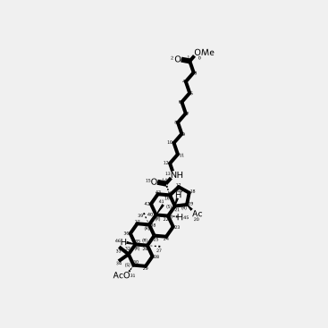 COC(=O)CCCCCCCCCCNC(=O)[C@]12CC[C@@H](C(C)=O)[C@@H]1[C@H]1CCC3[C@@]4(C)CC[C@H](OC(C)=O)C(C)(C)[C@@H]4CC[C@@]3(C)[C@]1(C)CC2